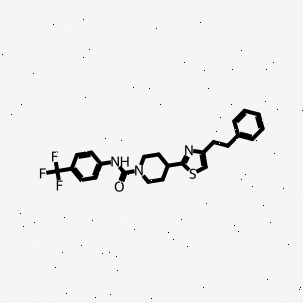 O=C(Nc1ccc(C(F)(F)F)cc1)N1CCC(c2nc(CCc3ccccc3)cs2)CC1